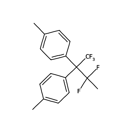 Cc1ccc(C(c2ccc(C)cc2)(C(C)(F)F)C(F)(F)F)cc1